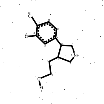 CCOCCC1CNCC1c1ccc(Cl)c(Cl)c1